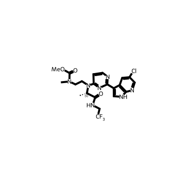 COC(=O)N(C)CCN(c1ccnc(-c2c[nH]c3ncc(Cl)cc23)n1)[C@@H](C)C(=O)NCC(F)(F)F